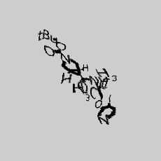 CC(C)(COc1cnccc1I)NC(=O)[C@H]1[C@@H]2CN(C(=O)OC(C)(C)C)C[C@@H]21